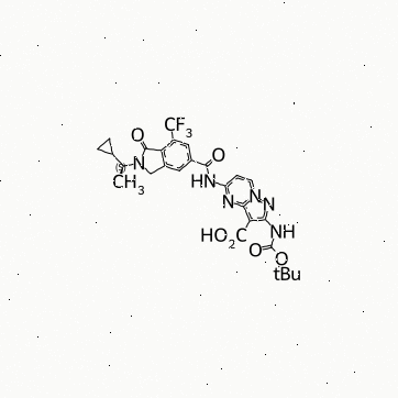 C[C@@H](C1CC1)N1Cc2cc(C(=O)Nc3ccn4nc(NC(=O)OC(C)(C)C)c(C(=O)O)c4n3)cc(C(F)(F)F)c2C1=O